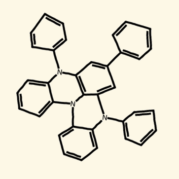 c1ccc(-c2cc3c4c(c2)N(c2ccccc2)c2ccccc2N4c2ccccc2N3c2ccccc2)cc1